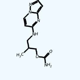 CC(CNc1ccn2nccc2n1)COC(N)=O